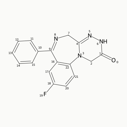 O=C1CN2C(=NN1)CN=C(c1ccccc1)c1cc(F)ccc12